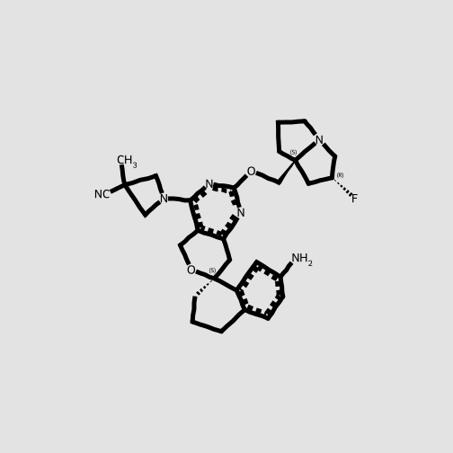 CC1(C#N)CN(c2nc(OC[C@@]34CCCN3C[C@H](F)C4)nc3c2CO[C@@]2(CCCc4ccc(N)cc42)C3)C1